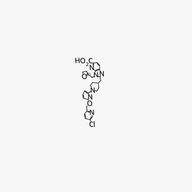 O=C(O)c1ccc2nc(CC3CCN(c4cccc(OCc5ccc(Cl)cn5)n4)CC3)n(C[C@@H]3CCO3)c2n1